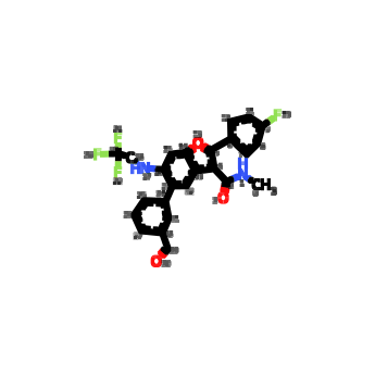 CNC(=O)c1c(-c2ccc(F)cc2)oc2cc(NCC(F)(F)F)c(-c3cccc(C=O)c3)cc12